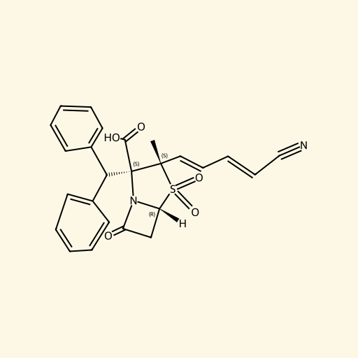 C[C@]1(C=CC=CC#N)[C@@](C(=O)O)(C(c2ccccc2)c2ccccc2)N2C(=O)C[C@H]2S1(=O)=O